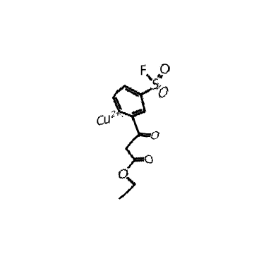 CCOC(=O)CC(=O)c1cccc(S(=O)(=O)F)c1.[Cu+2]